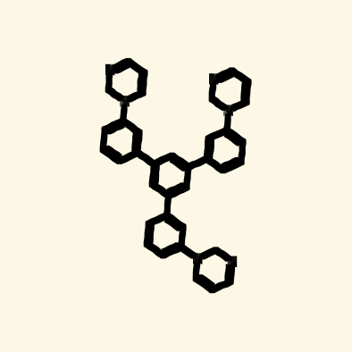 C1=CN(c2cccc(-c3cc(-c4cccc(N5C=CC=NC5)c4)cc(-c4cccc(N5C=CC=NC5)c4)c3)c2)CN=C1